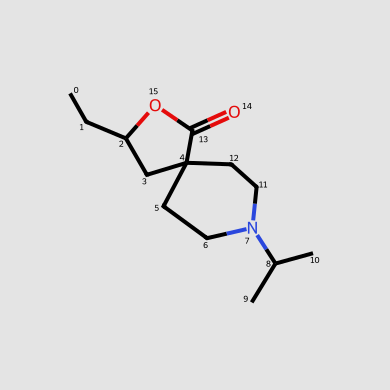 CCC1CC2(CCN(C(C)C)CC2)C(=O)O1